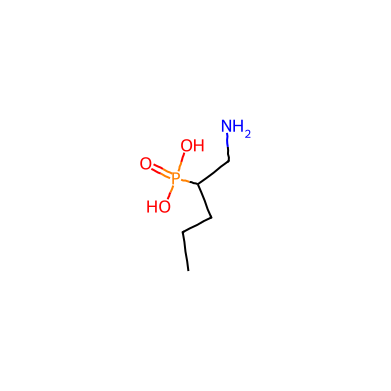 CCCC(CN)P(=O)(O)O